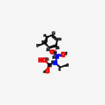 CCN(C(=O)O)[N+](=O)[O-].Cc1ccccc1